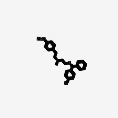 COc1ccc(CCN(C)CCOC(c2ccccc2)c2ccc(Cl)cc2)cc1